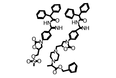 CC(C(=O)OCc1ccccc1)N1CCN(CC2CN(c3ccc(C(=N)NC(=O)C(c4ccccc4)c4ccccc4)cc3)C(=O)O2)CC1.CS(=O)(=O)OCC1CN(c2ccc(C(=N)NC(=O)C(c3ccccc3)c3ccccc3)cc2)C(=O)O1